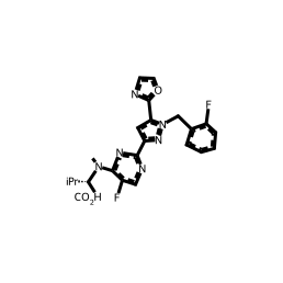 CC(C)[C@@H](C(=O)O)N(C)c1nc(-c2cc(-c3ncco3)n(Cc3ccccc3F)n2)ncc1F